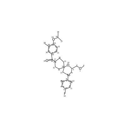 COCC1CN(c2ncc(F)cn2)CC2(CCN(C(=O)c3ccc(OC(C)C)c(C)c3)CC2)O1